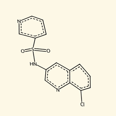 O=S(=O)(Nc1cnc2c(Cl)cccc2c1)c1cccnc1